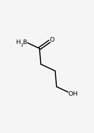 BC(=O)CCCO